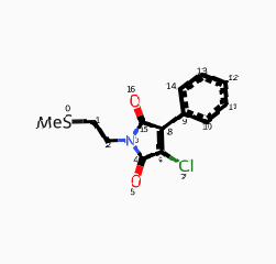 CSCCN1C(=O)C(Cl)=C(c2ccccc2)C1=O